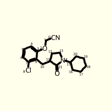 N#CCOc1cccc(Cl)c1CC1CCN(C2CCCCC2)C1=O